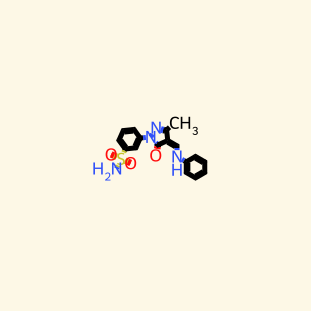 CC1=NN(c2cccc(S(N)(=O)=O)c2)C(=O)C1=CNc1ccccc1